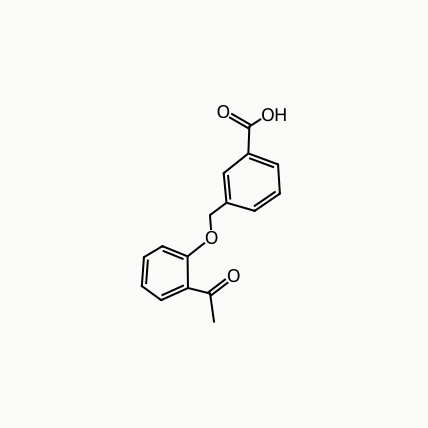 CC(=O)c1ccccc1OCc1cccc(C(=O)O)c1